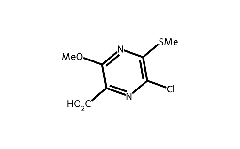 COc1nc(SC)c(Cl)nc1C(=O)O